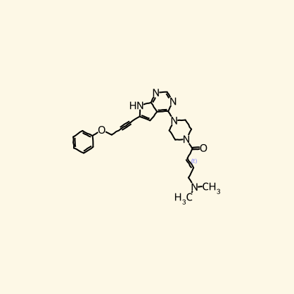 CN(C)C/C=C/C(=O)N1CCN(c2ncnc3[nH]c(C#CCOc4ccccc4)cc23)CC1